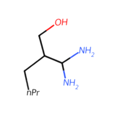 CCCCC(CO)C(N)N